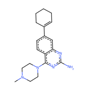 CN1CCN(c2nc(N)nc3cc(C4=CCCCC4)ccc23)CC1